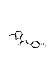 O=C(C=Cc1ccc(C(F)(F)F)cc1)c1cccc(Cl)n1